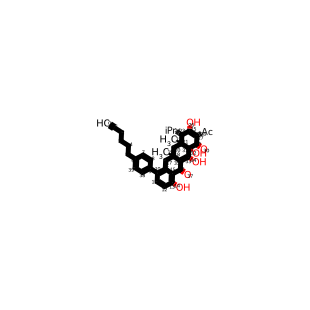 C#CCCCCc1ccc(-c2ccc(O)c3c2C[C@]2(C)C[C@]4(C)C(C(C)C)C(O)=C(C(C)=O)C(=O)[C@]4(O)C(O)=C2C3=O)cc1